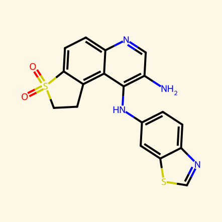 Nc1cnc2ccc3c(c2c1Nc1ccc2ncsc2c1)CCS3(=O)=O